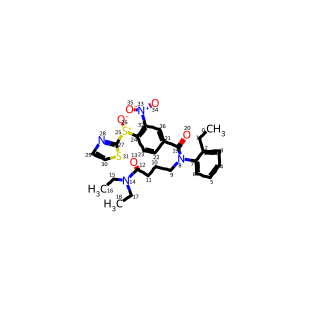 CCc1ccccc1N(CCCC(=O)N(CC)CC)C(=O)c1ccc([S+]([O-])c2nccs2)c([N+](=O)[O-])c1